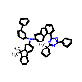 CC1(c2nc(-c3ccccc3)nc(-c3cccc4c3-c3ccc(N(C5=CC=C6c7ccccc7C(C)(C)C6C5)c5cccc(-c6ccccc6)c5)cc3C4)n2)C=CC=CC1